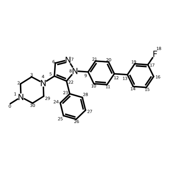 CN1CCN(c2cnn(-c3ccc(-c4cccc(F)c4)cc3)c2-c2ccccc2)CC1